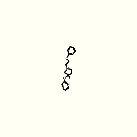 IC1(Oc2cnccn2)CCN(CCOc2ccccc2)C1